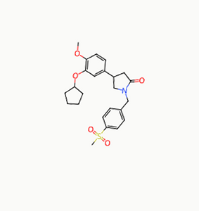 COc1ccc(C2CC(=O)N(Cc3ccc(S(C)(=O)=O)cc3)C2)cc1OC1CCCC1